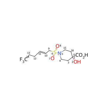 O=C(O)C1(O)CCN(S(=O)(=O)CC=CCCC(F)(F)F)CC1